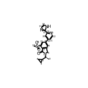 C[C@@H](C1CC1)N1Cc2cc(-c3ccnc(-c4ncc[nH]4)c3)cc(S(C)(=O)=O)c2C1=O